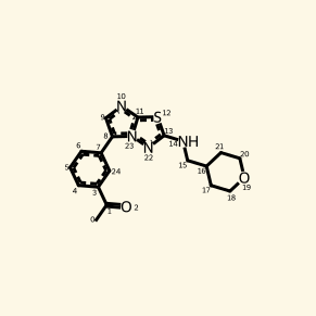 CC(=O)c1cccc(-c2cnc3sc(NCC4CCOCC4)nn23)c1